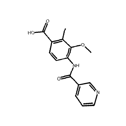 COc1c(NC(=O)c2cccnc2)ccc(C(=O)O)c1C